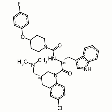 CN(C)C[C@H]1Cc2cc(Cl)ccc2N(C(=O)[C@@H](Cc2c[nH]c3ccccc23)NC(=O)N2CCC(Oc3ccc(F)cc3)CC2)C1